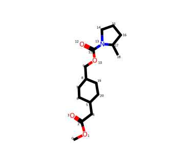 COC(=O)CC1CCC(COC(=O)N2CCCC2C)CC1